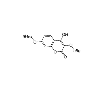 CCCCCCOc1ccc2c(O)c(OCCCC)c(=O)oc2c1